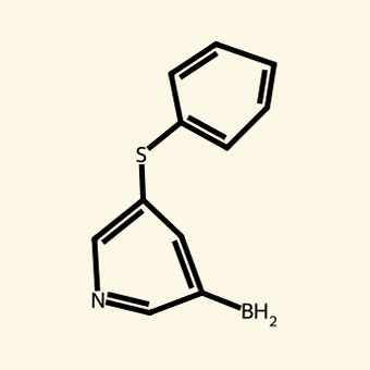 Bc1cncc(Sc2ccccc2)c1